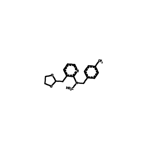 O=C(O)N(Cc1ccc(C(F)(F)F)cc1)c1ncccc1CC1OCCO1